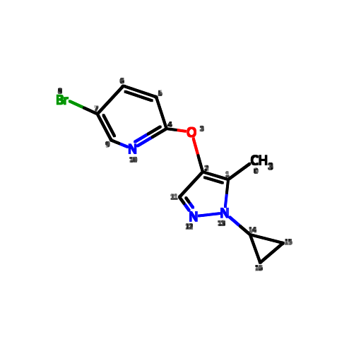 Cc1c(Oc2ccc(Br)cn2)cnn1C1CC1